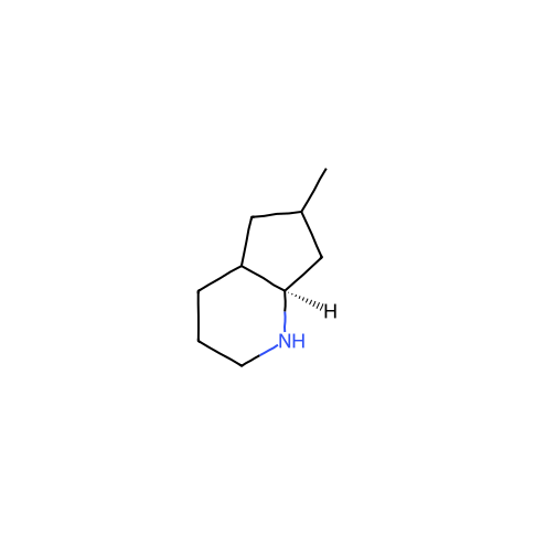 CC1CC2CCCN[C@@H]2C1